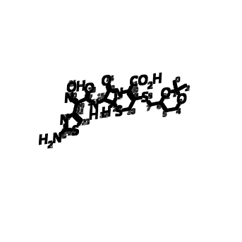 CC1(C)OCCC(CSC2=C(C(=O)O)N3C(=O)C(NC(=O)/C(=N\O)c4csc(N)n4)[C@H]3SC2)O1